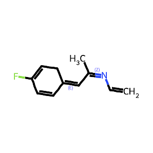 C=C/N=C(C)\C=C1\C=CC(F)=CC1